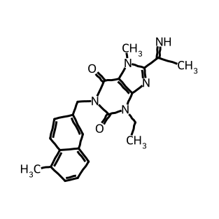 CCn1c(=O)n(Cc2ccc3c(C)cccc3c2)c(=O)c2c1nc(C(C)=N)n2C